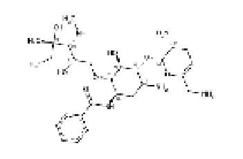 CN[C@H]([C@@H](O)CO[C@@H]1[C@@H](O)[C@H](O[C@H]2OC(CN)=CC[C@H]2N)[C@@H](N)C[C@H]1NC(=O)c1ccccc1)[C@@](C)(O)CO